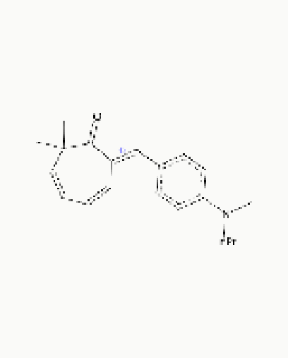 CCCN(C)c1ccc(/C=C2\C=CC=CC(C)(C)C2=O)cc1